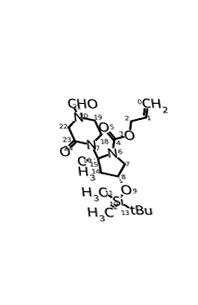 C=CCOC(=O)N1C[C@H](O[Si](C)(C)C(C)(C)C)C[C@@]1(C)N1CCN(C=O)CC1=O